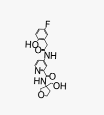 O=C(Cc1cc(F)ccc1O)Nc1ccnc(C(=O)NC2(CO)CCOC2)c1